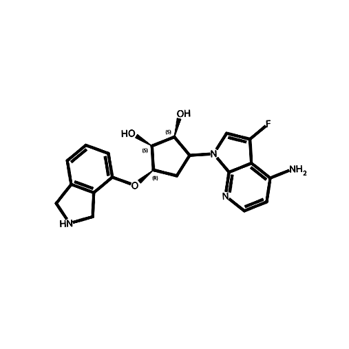 Nc1ccnc2c1c(F)cn2C1C[C@@H](Oc2cccc3c2CNC3)[C@@H](O)[C@H]1O